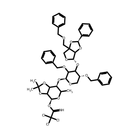 CC1O[C@@H](OC(=N)C(Cl)(Cl)Cl)C2OC(C)(C)OC2[C@H]1O[C@@H]1OC[C@@H](OCc2ccccc2)C(O[C@@H]2OCC3(COCc4ccccc4)O[C@@H](c4ccccc4)OC23)C1OCc1ccccc1